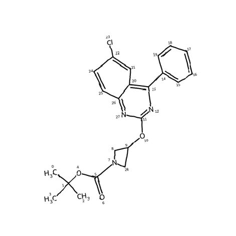 CC(C)(C)OC(=O)N1CC(Oc2nc(-c3ccccc3)c3cc(Cl)ccc3n2)C1